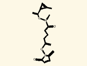 C=C(CCCC(=O)N(C)OC(=C)C1C=C1C)ON1C(=C)C=CC1=O